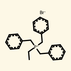 CC[P+](Cc1ccccc1)(Cc1ccccc1)Cc1ccccc1.[Br-]